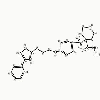 O=C(NO)C1(S(=O)(=O)c2ccc(OCCCc3nc(-c4ccccc4)no3)cc2)CCOCC1